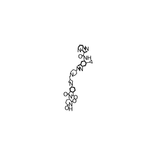 O=C1CCC(N2C(=O)c3ccc(N4CC(CN5CCC(n6cc7cc(NC(=O)c8cnn9cccnc89)c(C8CC8)cc7n6)CC5)C4)cc3C2=O)C(=O)N1